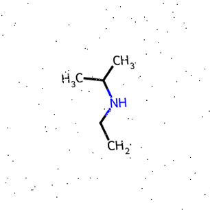 [CH2]CNC(C)C